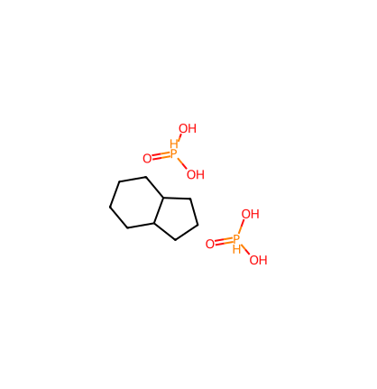 C1CCC2CCCC2C1.O=[PH](O)O.O=[PH](O)O